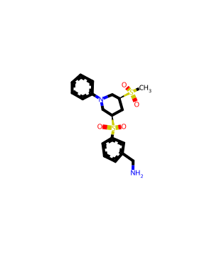 CS(=O)(=O)[C@H]1C[C@@H](S(=O)(=O)c2cccc(CN)c2)CN(c2ccccc2)C1